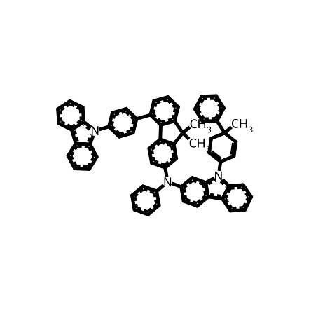 CC1(c2ccccc2)C=CC(n2c3ccccc3c3ccc(N(c4ccccc4)c4ccc5c(c4)C(C)(C)c4cccc(-c6ccc(-n7c8ccccc8c8ccccc87)cc6)c4-5)cc32)=CC1